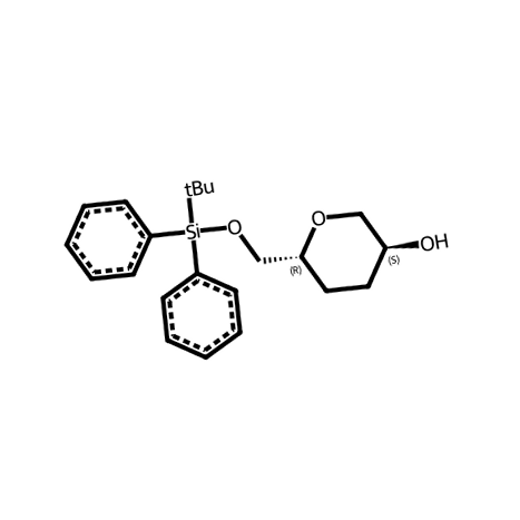 CC(C)(C)[Si](OC[C@H]1CC[C@H](O)CO1)(c1ccccc1)c1ccccc1